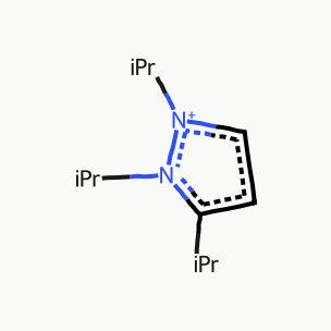 CC(C)c1cc[n+](C(C)C)n1C(C)C